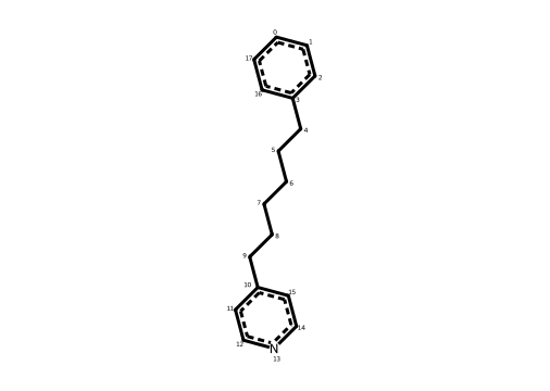 c1ccc(CCCCCCc2ccncc2)cc1